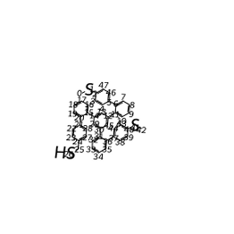 CSc1ccc(-c2ccccc2-c2cc(-c3ccccc3-c3ccc(CS)cc3)cc(-c3ccccc3-c3ccc(SC)cc3)c2)cc1